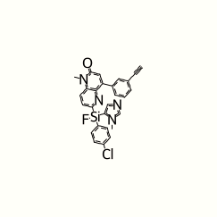 C#Cc1cccc(-c2cc(=O)n(C)c3ccc([Si@](F)(c4ccc(Cl)cc4)c4cncn4C)nc23)c1